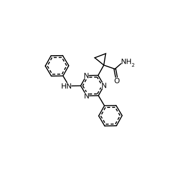 NC(=O)C1(c2nc(Nc3ccccc3)nc(-c3ccccc3)n2)CC1